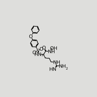 N=C(N)NCCC[C@@H](NS(=O)(=O)c1ccc(Oc2ccccc2)cc1)C(=O)NO